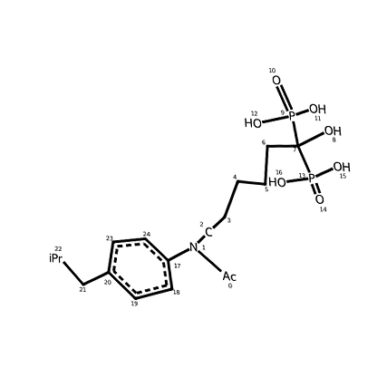 CC(=O)N(CCCCCC(O)(P(=O)(O)O)P(=O)(O)O)c1ccc(CC(C)C)cc1